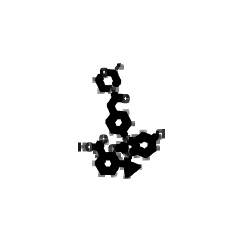 C[C@@H]1CN(C(=O)Cc2ccc(-n3c(=O)n(C4(c5cccc(C(=O)O)c5)CC4)c4ccc(Cl)cc43)cc2)CCO1